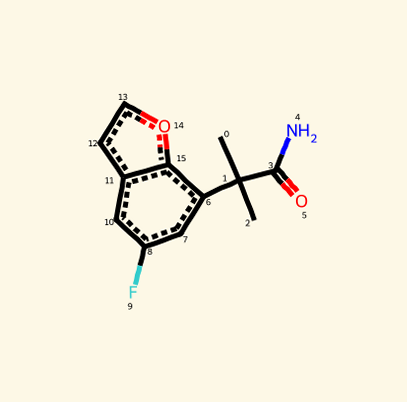 CC(C)(C(N)=O)c1cc(F)cc2ccoc12